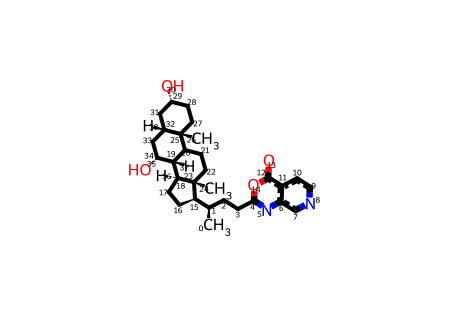 C[C@H](CCc1nc2cnccc2c(=O)o1)[C@H]1CC[C@H]2[C@H]3C(CC[C@]12C)[C@@]1(C)CC[C@@H](O)C[C@H]1C[C@H]3O